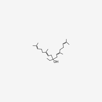 CCC(O)(C/C=C(\C)CCC=C(C)C)C/C=C(\C)CCC=C(C)C